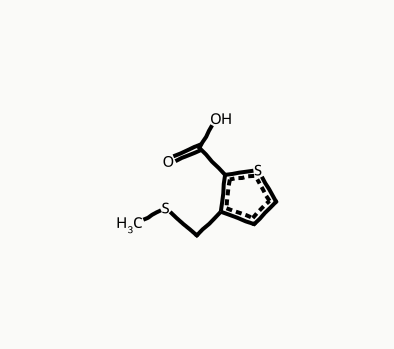 CSCc1ccsc1C(=O)O